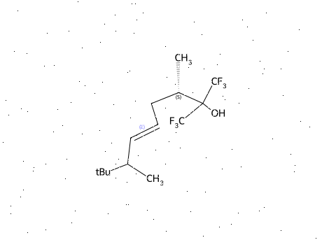 CC(/C=C/C[C@H](C)C(O)(C(F)(F)F)C(F)(F)F)C(C)(C)C